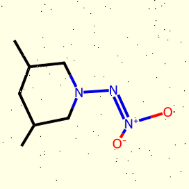 CC1CC(C)CN(N=[N+]([O])[O-])C1